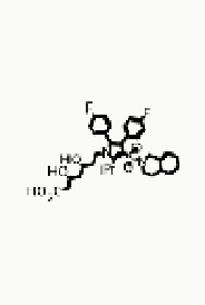 CC(C)c1c(S(=O)(=O)N2CCC3CCCC=C3C2)c(-c2ccc(F)cc2)c(-c2ccc(F)cc2)n1CCC(O)CC(O)CC(=O)O